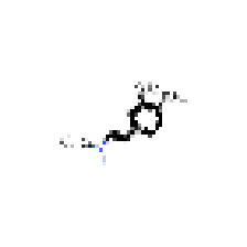 CC(=O)Oc1ccc(/C=C/NC=O)cc1OC(C)=O